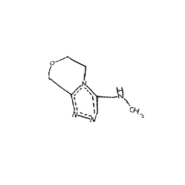 CNc1nnc2n1CCOC2